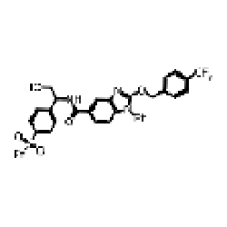 CCn1c(OCc2ccc(C(F)(F)F)cc2)nc2cc(C(=O)NC(CO)c3ccc(S(=O)(=O)CC)cc3)ccc21